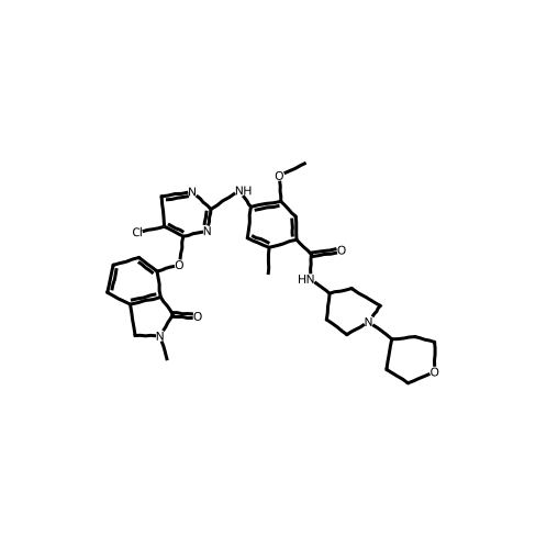 COc1cc(C(=O)NC2CCN(C3CCOCC3)CC2)c(C)cc1Nc1ncc(Cl)c(Oc2cccc3c2C(=O)N(C)C3)n1